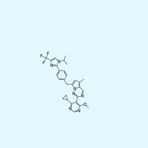 COc1ncnc(C2CC2)c1-c1ncc2c(C)cc(Cc3ccc(-c4nc(C(F)(F)F)cn4C(C)C)cc3)n2n1